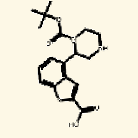 CC(C)(C)OC(=O)N1CCNCC1c1cccc2sc(C(=O)O)cc12